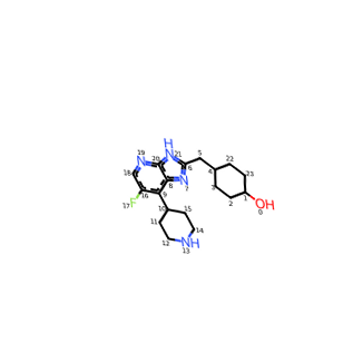 OC1CCC(Cc2nc3c(C4CCNCC4)c(F)cnc3[nH]2)CC1